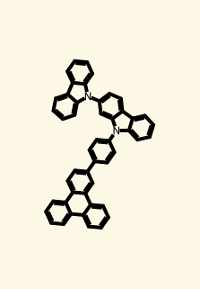 c1ccc2c(c1)c1ccccc1c1cc(-c3ccc(-n4c5ccccc5c5ccc(-n6c7ccccc7c7ccccc76)cc54)cc3)ccc21